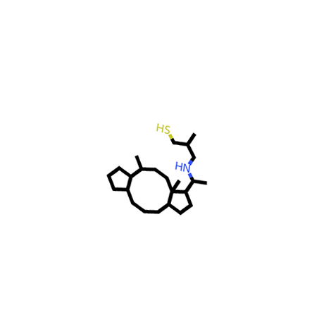 CC(CS)CNC(C)C1CCC2CCCC3CCCC3C(C)CCC21C